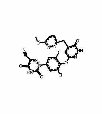 COc1ccc(Cc2cc(Oc3c(Cl)cc(-n4nc(C#N)c(=O)[nH]c4=O)cc3Cl)n[nH]c2=O)nn1